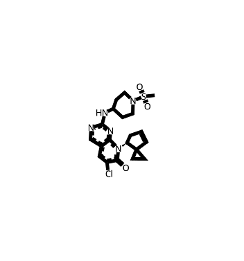 CS(=O)(=O)N1CCC(Nc2ncc3cc(Cl)c(=O)n([C@@H]4CC=CC45CC5)c3n2)CC1